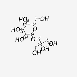 OCC1OC(OCC(O)(CO)CO)C(O)C(O)C1O